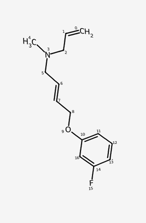 C=CCN(C)CC=CCOc1cc[c]c(F)c1